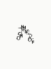 COc1ccc(-n2c(C)nnc2N2CCC(Oc3cccc(F)c3C)CC2)cn1